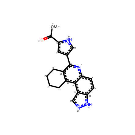 COC(=O)c1cc(-c2nc3ccc4[nH]ncc4c3c3c2CCCC3)c[nH]1